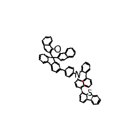 c1ccc(-c2ccccc2N(c2ccc(-c3ccc4c(c3)C3(c5ccccc5-4)c4ccc5ccccc5c4Oc4c3ccc3ccccc43)cc2)c2ccc(-c3cccc4c3sc3ccccc34)cc2)cc1